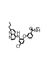 CCCc1ccc2c(Nc3cc(Cl)ccc3Oc3cccc(C(=O)NCC)c3)ccnc2n1